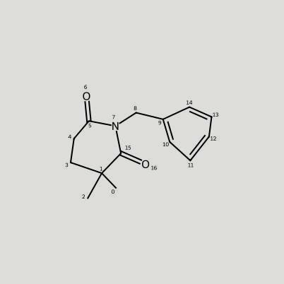 CC1(C)CCC(=O)N(Cc2ccccc2)C1=O